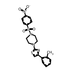 Cc1ccccc1-c1csc(N2CCN(S(=O)(=O)c3ccc([N+](=O)[O-])cc3)CC2)n1